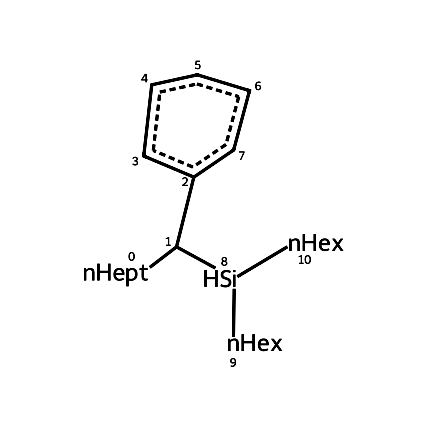 CCCCCCCC(c1ccccc1)[SiH](CCCCCC)CCCCCC